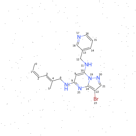 C/C=C\C=C(/C)CNc1cc(NCc2cccnc2)n2ncc(Br)c2n1